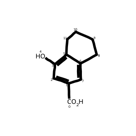 O=C(O)c1cc(O)c2c(c1)CCCC2